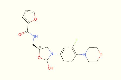 O=C(NC[C@H]1CN(c2ccc(N3CCOCC3)c(F)c2)C(O)O1)c1ccco1